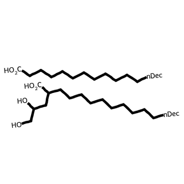 CCCCCCCCCCCCCCCCCCCCC(CC(O)CO)C(=O)O.CCCCCCCCCCCCCCCCCCCCCC(=O)O